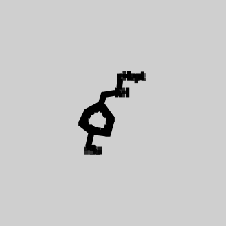 CCCCCCCNCc1ccc(CCCC)cc1